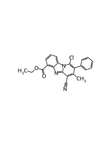 CCOC(=O)c1cccc2c1nc1c(C#N)c(C)c(-c3ccccc3)c(Cl)n12